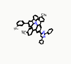 N#Cc1ccc(-c2cc(-c3cc(-c4ccccc4)nc(-c4ccccc4)n3)cc(-c3ccc(C#N)cc3)c2-n2c3ccccc3c3cc(-c4cccc(C#N)c4)ccc32)cc1